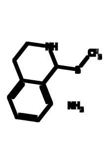 FC(F)(F)SC1NCCc2ccccc21.N